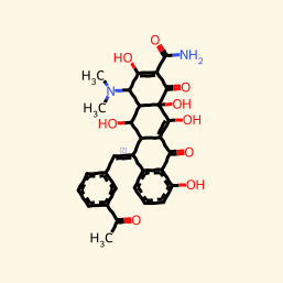 CC(=O)c1cccc(/C=C2\c3cccc(O)c3C(=O)C3=C(O)C4(O)C(=O)C(C(N)=O)=C(O)C(N(C)C)C4C(O)C32)c1